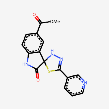 COC(=O)c1ccc2c(c1)C1(NN=C(c3cccnc3)S1)C(=O)N2